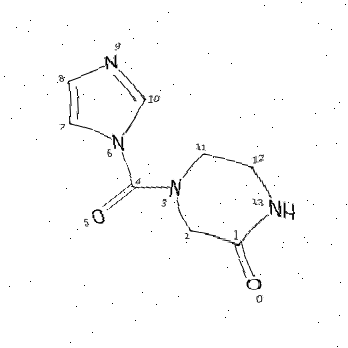 O=C1CN(C(=O)n2ccnc2)CCN1